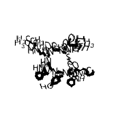 C[C@@H](O)[C@H](NC(=O)[C@@H]1CSSC[C@H](NC(=O)[C@@H](Cc2ccccc2)NC(=O)NC2CCCCC2)C(=O)N[C@@H](Cc2ccc(O)cc2)C(=O)N[C@H](Cc2c[nH]c3ccccc23)C(=O)N[C@@H](CCCCNC(=O)OC(C)(C)C)C(=O)N[C@@H]([C@@H](C)O)C(=O)N1)C(=O)O